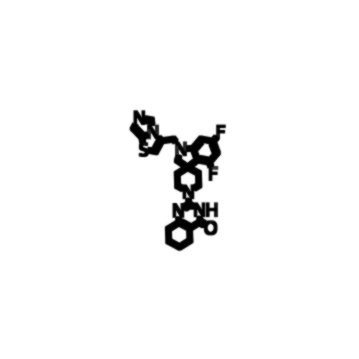 O=c1[nH]c(N2CCC3(CC2)CN(Cc2csc4cncn24)c2cc(F)cc(F)c23)nc2c1CCCC2